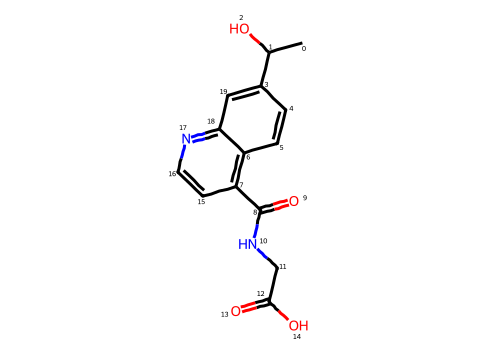 CC(O)c1ccc2c(C(=O)NCC(=O)O)ccnc2c1